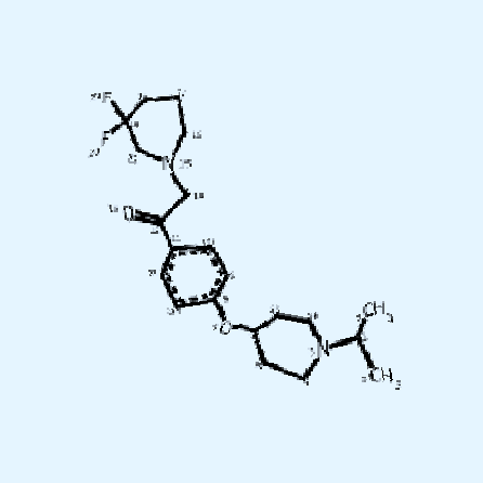 CC(C)N1CCC(Oc2ccc(C(=O)CN3CCCC(F)(F)C3)cc2)CC1